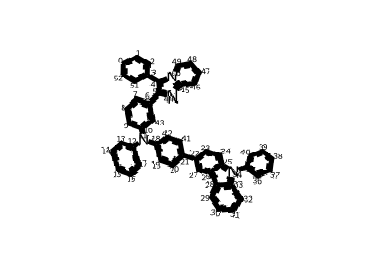 c1ccc(-c2c(-c3cccc(N(c4ccccc4)c4ccc(-c5ccc6c(c5)c5ccccc5n6-c5ccccc5)cc4)c3)nc3ccccn23)cc1